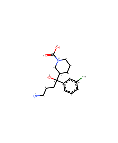 NCCCC(O)(c1cccc(Cl)c1)C1CCCN(C(=O)O)C1